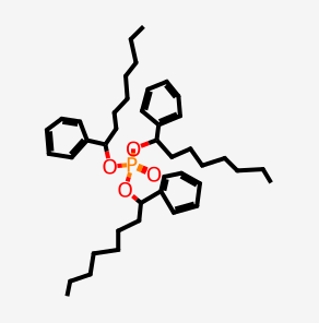 CCCCCCCC(OP(=O)(OC(CCCCCCC)c1ccccc1)OC(CCCCCCC)c1ccccc1)c1ccccc1